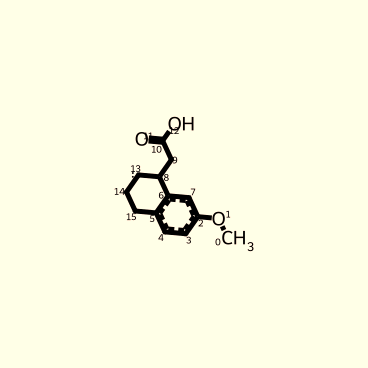 COc1ccc2c(c1)C(CC(=O)O)[C]CC2